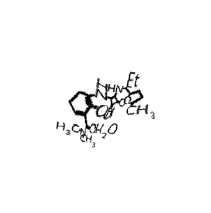 CC[C@@H](Nc1c(Nc2cccc(C(=O)N(C)C)c2O)c(=O)c1=O)c1ccc(C)o1.O